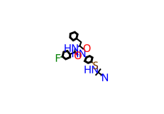 CC(C)(C#N)NSc1ccc(NC(=O)C(Cc2ccccc2)NC(=O)c2ccc(F)cc2)cc1